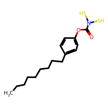 CCCCCCCCCc1ccc(OC(=O)N(S)S)cc1